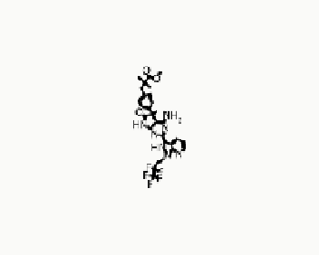 COC(=O)C(C)(C)Cc1ccc(C2(C)C(=O)Nc3nc(C4NN(CCC(F)(F)C(F)(F)F)c5ncccc54)nc(N)c32)cc1